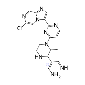 CC1C(/C(C=N)=C/N)NCCN1c1ccnc(-c2cnc3cnc(Cl)cn23)n1